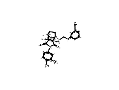 C[C@]12CC[C@](CCOc3cccc(Br)c3)(O1)[C@@H]1C(=O)N(c3ccc(C#N)c(C(F)(F)F)c3)C(=O)[C@@H]12